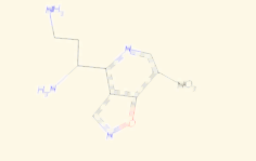 NCCC(N)c1ncc([N+](=O)[O-])c2oncc12